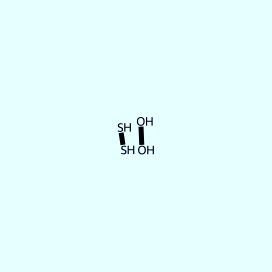 OO.SS